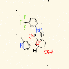 Cc1cc([C@H]2[C@H]3O[C@H](C[C@@H]3O)[C@@H]2C(=O)Nc2cccc(C(F)(F)F)c2)ccn1